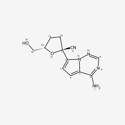 N#C[C@]1(c2ccc3c(N)ncnn23)CC[C@@H](CO)O1